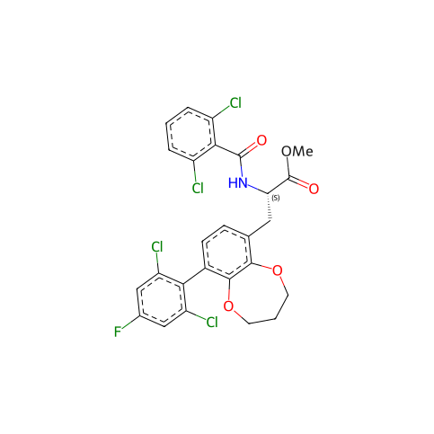 COC(=O)[C@H](Cc1ccc(-c2c(Cl)cc(F)cc2Cl)c2c1OCCCO2)NC(=O)c1c(Cl)cccc1Cl